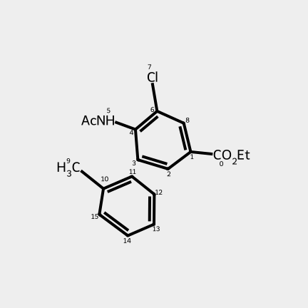 CCOC(=O)c1ccc(NC(C)=O)c(Cl)c1.Cc1ccccc1